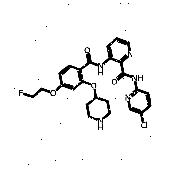 O=C(Nc1cccnc1C(=O)Nc1ccc(Cl)cn1)c1ccc(OCCF)cc1OC1CCNCC1